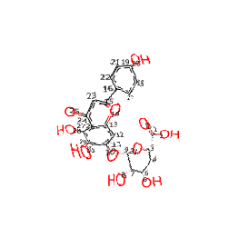 O=C(O)[C@@H]1C[C@H](O)[C@H](O)[C@H](Oc2cc3oc(-c4ccc(O)cc4)cc(=O)c3c(O)c2O)O1